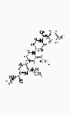 CC[C@H]1CN(c2ncc(C(=O)NC)nc2NC)CCN1C1CCN(C(=O)c2ccc(Cl)cc2)CC1